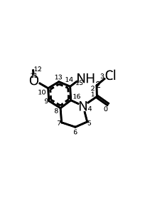 C=C(CCl)N1CCCc2cc(OC)cc(N)c21